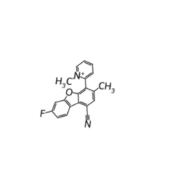 Cc1cc(C#N)c2c(oc3cc(F)ccc32)c1-c1cccc[n+]1C